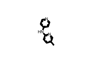 Cc1ccc(Nc2ccncc2)nc1